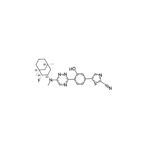 CN(c1cnc(-c2ccc(-c3cnc(C#N)s3)cc2O)nn1)[C@H]1C[C@]2(C)CCC[C@@](C)(C2)[C@H]1F